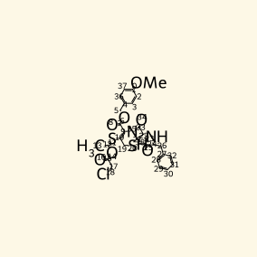 COc1ccc(COC(=O)C2=C(SC(C)OC(=O)CCl)CS[C@@H]3[C@@H](NC(=O)Cc4ccccc4)C(=O)N23)cc1